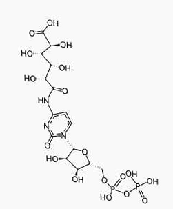 O=C(O)[C@@H](O)[C@@H](O)[C@H](O)[C@@H](O)C(=O)Nc1ccn([C@@H]2O[C@H](COP(=O)(O)OP(=O)(O)O)[C@@H](O)[C@H]2O)c(=O)n1